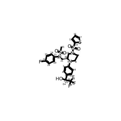 C[C@](O)(c1ccc(N2CCN(S(=O)(=O)c3cccs3)C[C@@H]2CN(c2ccc(F)cc2)S(C)(=O)=O)cc1)C(F)(F)F